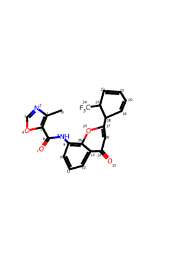 Cc1ncoc1C(=O)Nc1cccc2c(=O)cc(C3C=CC=CC3C(F)(F)F)oc12